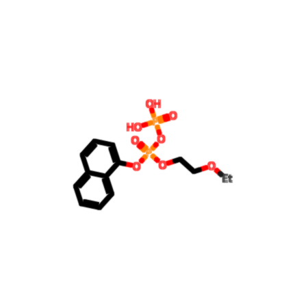 CCOCCOP(=O)(Oc1cccc2ccccc12)OP(=O)(O)O